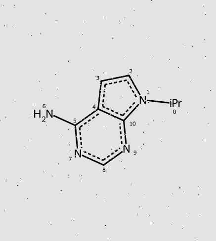 CC(C)n1ccc2c(N)ncnc21